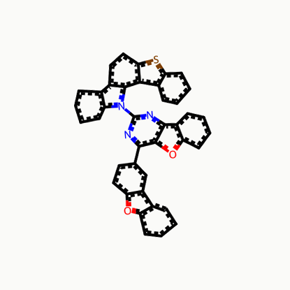 c1ccc2c(c1)oc1ccc(-c3nc(-n4c5ccccc5c5ccc6sc7ccccc7c6c54)nc4c3oc3ccccc34)cc12